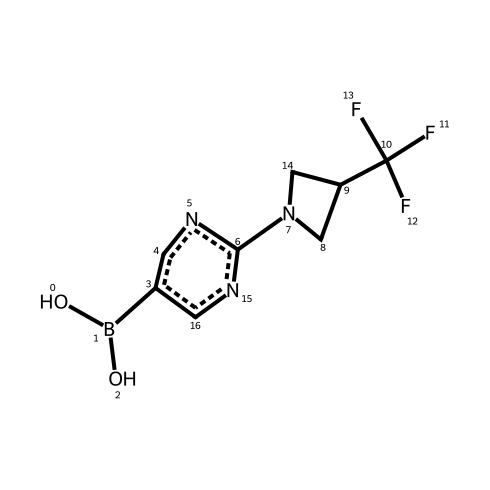 OB(O)c1cnc(N2CC(C(F)(F)F)C2)nc1